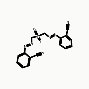 N#Cc1ccccc1N=NCS(=O)(=O)CN=Nc1ccccc1C#N